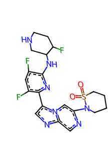 O=S1(=O)CCCCN1c1cn2c(-c3nc(NC4CNCCC4F)c(F)cc3F)cnc2cn1